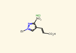 CCn1cc(C=CC(=O)O)c([N+](=O)[O-])n1.Cl